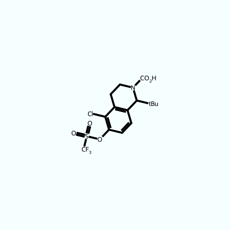 CC(C)(C)C1c2ccc(OS(=O)(=O)C(F)(F)F)c(Cl)c2CCN1C(=O)O